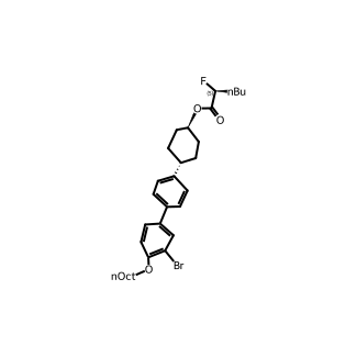 CCCCCCCCOc1ccc(-c2ccc([C@H]3CC[C@H](OC(=O)[C@@H](F)CCCC)CC3)cc2)cc1Br